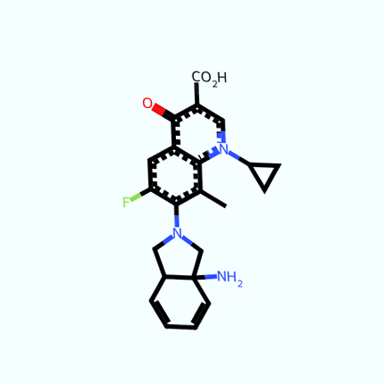 Cc1c(N2CC3C=CC=CC3(N)C2)c(F)cc2c(=O)c(C(=O)O)cn(C3CC3)c12